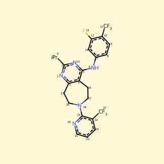 CC(C)c1nc2c(c(Nc3ccc(C(F)(F)F)c(F)c3)n1)CCN(c1ncccc1C(F)(F)F)CC2